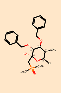 CC[C@H]1O[C@@](O)(CP(=O)(OC)OC)[C@H](OCc2ccccc2)[C@@H](OCc2ccccc2)[C@@H]1C